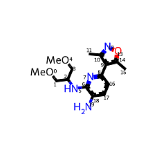 COCC(COC)Nc1nc(-c2c(C)noc2C)ccc1N